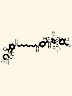 CC1(C)[C@H](NC(=O)c2ccc(NCCCCCCCCNc3ccc4c(c3)C(=O)N(C3CCC(=O)NC3=O)C4=O)cc2)C(C)(C)[C@H]1Oc1ccc(C#N)c(Cl)c1